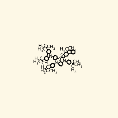 CC(C)(C)c1ccc(N2c3cc(-n4c5ccc(C(C)(C)C)cc5c5cc(C(C)(C)C)ccc54)ccc3B3c4sc5cc6c(cc5c4N(c4ccc(C(C)(C)C)cc4)c4cccc2c43)-c2ccccc2C6(C)C)cc1